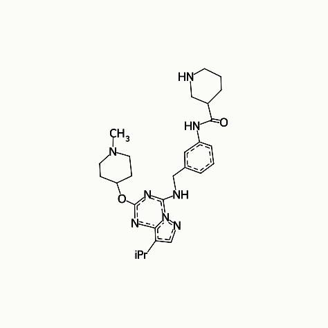 CC(C)c1cnn2c(NCc3cccc(NC(=O)C4CCCNC4)c3)nc(OC3CCN(C)CC3)nc12